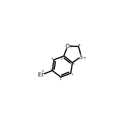 CCc1ccc2c(c1)OCS2